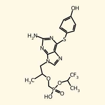 CC(Cn1cnc2c(Sc3ccc(O)cc3)nc(N)nc21)OCP(=O)(O)OC(C)C(F)(F)F